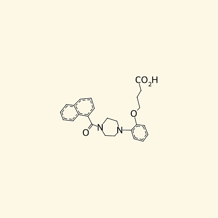 O=C(O)CCCOc1ccccc1N1CCN(C(=O)c2cccc3ccccc23)CC1